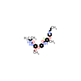 CCCCN1CCC(Oc2cc(F)c(C(=O)Nc3ccc(Oc4ccc(NC(=O)NC(CC)CC)cc4OCC)cc3)cc2C)CC1